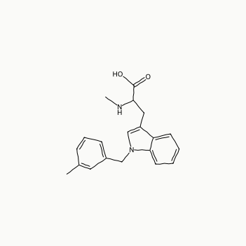 CNC(Cc1cn(Cc2cccc(C)c2)c2ccccc12)C(=O)O